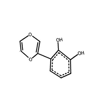 Oc1cccc(C2=COC=[C]O2)c1O